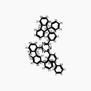 c1ccc(-c2ccc(-c3nc(-c4cccc(C5(c6ccccc6)c6ccccc6-c6ccccc65)c4)nc(-c4cccc5sc6ccc(-c7ccccc7)cc6c45)n3)cc2)cc1